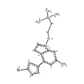 Cc1nc(-c2cnc(Br)s2)c2ccn(OCC[Si](C)(C)C)c2n1